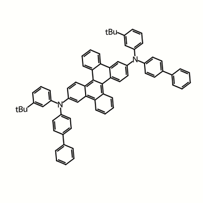 CC(C)(C)c1cccc(N(c2ccc(-c3ccccc3)cc2)c2ccc3c(c2)c2ccccc2c2c4ccc(N(c5ccc(-c6ccccc6)cc5)c5cccc(C(C)(C)C)c5)cc4c4ccccc4c32)c1